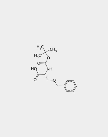 CC(C)(C)OC(=O)N[C@H](COCc1ccccc1)C(=O)O